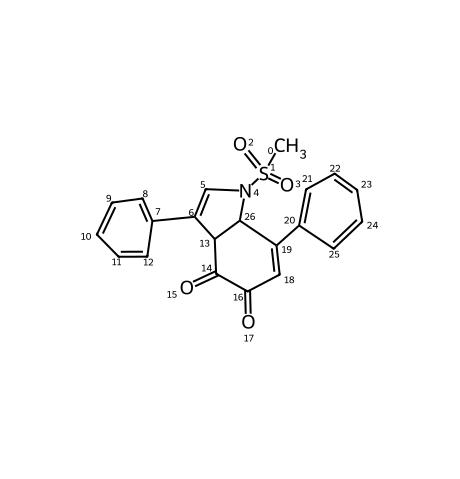 CS(=O)(=O)N1C=C(c2ccccc2)C2C(=O)C(=O)C=C(c3ccccc3)C21